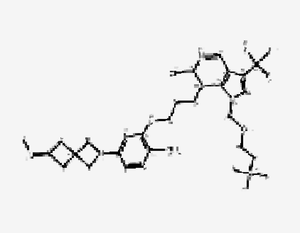 COC1CC2(C1)CN(c1ccc(N)c(OCCCN3c4c(c(C(F)(F)F)cn4COCC[Si](C)(C)C)C=NC3Cl)n1)C2